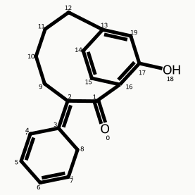 O=C1C(=C2[C]=CC=[C]C2)CCCCc2ccc1c(O)c2